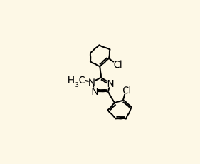 Cn1nc(-c2ccccc2Cl)nc1C1=C(Cl)CCCC1